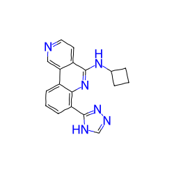 c1cc(-c2nnc[nH]2)c2nc(NC3CCC3)c3ccncc3c2c1